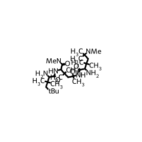 CNC(=O)C(NC(=O)C(N)C(C)(C)CC(C)(C)C)C(C)(C)CC(C)(C)NC(=O)C(N)C(C)(C)CC(C)(C)NC